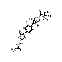 CC(=O)NC[C@H]1CN(c2ccc(C3[C@H]4CN(C(=O)C(C)(C)O)C[C@@H]34)c(F)c2)C(=O)O1